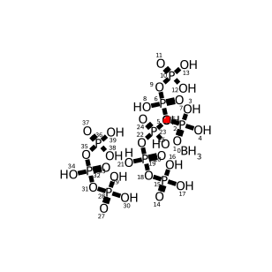 B.O=P(O)(O)OP(=O)(O)OP(=O)(O)O.O=P(O)(O)OP(=O)(O)OP(=O)(O)O.O=P(O)(O)OP(=O)(O)OP(=O)(O)O